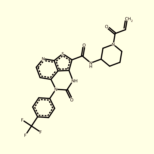 C=CC(=O)N1CCCC(NC(=O)c2sc3nccc4c3c2NC(=O)N4c2ccc(C(F)(F)F)cc2)C1